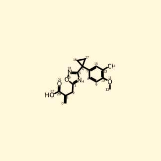 C=C(Cc1nc(C2(c3ccc(OC)c(Cl)c3)CC2)no1)C(=O)O